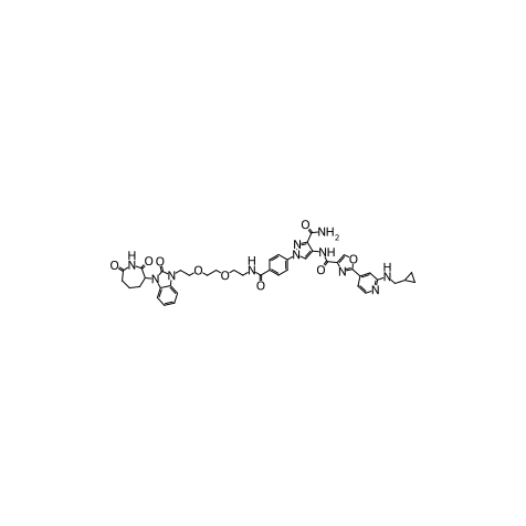 NC(=O)c1nn(-c2ccc(C(=O)NCCOCCOCCn3c(=O)n(C4CCCC(=O)NC4=O)c4ccccc43)cc2)cc1NC(=O)c1coc(-c2ccnc(NCC3CC3)c2)n1